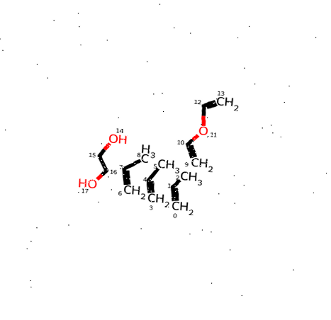 C=CC.C=CC.C=CC.C=COC=C.OCCO